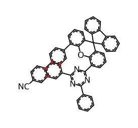 N#Cc1ccc(-c2ccc(-c3cccc4c3Oc3c(-c5nc(-c6ccccc6)nc(-c6ccccc6)n5)cccc3C43c4ccccc4-c4ccccc43)cc2)cc1